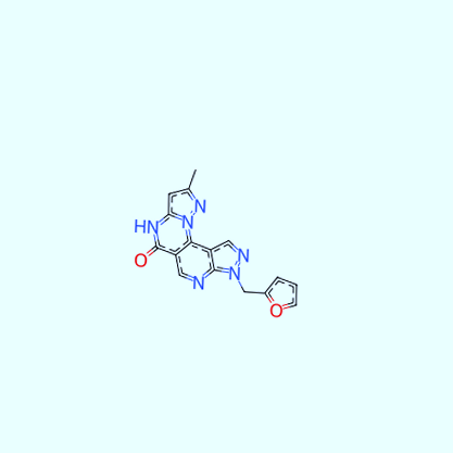 Cc1cc2[nH]c(=O)c3cnc4c(cnn4Cc4ccco4)c3n2n1